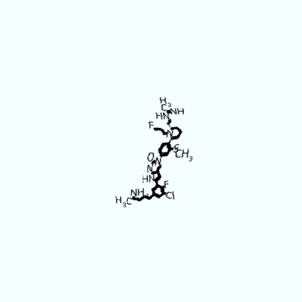 CSc1cc(-n2cc3cc(-c4cc(CCC[C@H](C)N)cc(Cl)c4F)[nH]c3nc2=O)ccc1[C@@H]1CCC[C@@H](CCNC(C)=N)N1CCCF